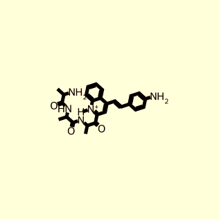 CC(N)C(=O)NC(C)C(=O)NC(C)C(=O)c1cc(C=Cc2ccc(N)cc2)c2ccccc2[n+]1C